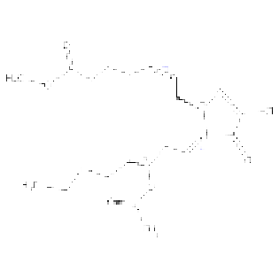 CCCCC[C@@H](C/C=C1/C(=O)C(Cl)=C[C@@H]1C/C=C\CCCC(=O)OC)OC(C)=O